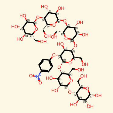 O=[N+]([O-])c1ccc(O[C@H]2[C@@H](O[C@H]3[C@H](O)[C@@H](O)[C@@H](O[C@H]4[C@H](O)[C@@H](O)[C@@H](O)O[C@@H]4CO)O[C@@H]3CO)O[C@H](CO)[C@@H](O[C@H]3O[C@H](CO)[C@@H](O[C@H]4O[C@H](CO)[C@@H](O[C@H]5O[C@H](CO)[C@@H](O)[C@H](O)[C@H]5O)[C@H](O)[C@H]4O)[C@H](O)[C@H]3O)[C@@H]2O)cc1